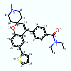 CCN(CC)C(=O)c1ccc(C2=CC3(CCNCC3)Oc3ccc(-c4cccs4)cc32)cc1